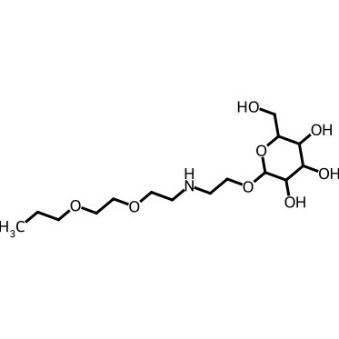 CCCOCCOCCNCCOC1OC(CO)C(O)C(O)C1O